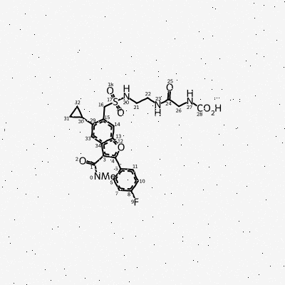 CNC(=O)c1c(-c2ccc(F)cc2)oc2cc(CS(=O)(=O)NCCNC(=O)CNC(=O)O)c(C3CC3)cc12